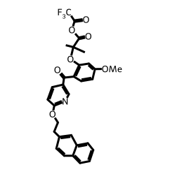 COc1ccc(C(=O)c2ccc(OCCc3ccc4ccccc4c3)nc2)c(OC(C)(C)C(=O)OC(=O)C(F)(F)F)c1